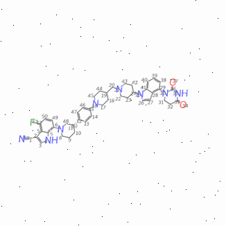 N#Cc1c[nH]c2c(N3CCC[C@@H](c4ccc(N5CCC(CN6CCC(n7ccc8c(N9CCC(=O)NC9=O)cccc87)CC6)CC5)cc4)C3)ccc(F)c12